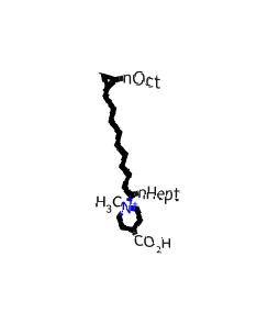 CCCCCCCCC1CC1CCCCCCCCCC(CCCCCCC)[N+]1(C)CCC(C(=O)O)CC1